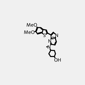 COc1cc2cc(-c3cnc4ccc(N(C)C5CCC(O)CC5)nn34)sc2cc1OC